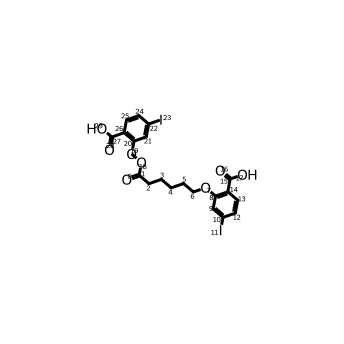 O=C(CCCCCOc1cc(I)ccc1C(=O)O)OOc1cc(I)ccc1C(=O)O